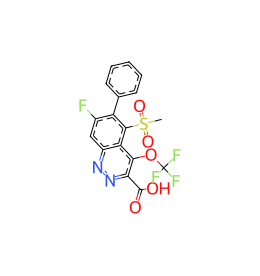 CS(=O)(=O)c1c(-c2ccccc2)c(F)cc2nnc(C(=O)O)c(OC(F)(F)F)c12